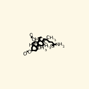 C[C@H](CCC(N)=O)[C@H]1CC[C@H]2[C@@H]3[C@@H](OC=O)C[C@@H]4C[C@H](OC=O)CC[C@]4(C)[C@H]3CC[C@]12C